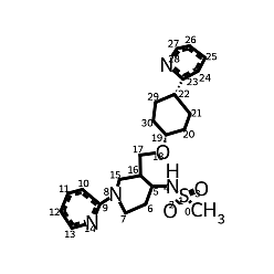 CS(=O)(=O)NC1CCN(c2ccccn2)CC1CO[C@H]1CC[C@@H](c2ccccn2)CC1